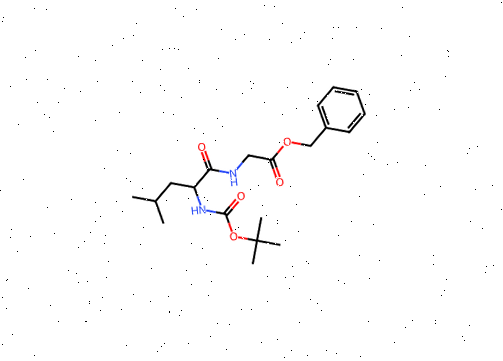 CC(C)CC(NC(=O)OC(C)(C)C)C(=O)NCC(=O)OCc1ccccc1